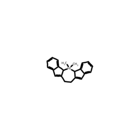 [CH3][Hf]1([CH3])[CH]2C(=Cc3ccccc32)CCC2=Cc3ccccc3[CH]21